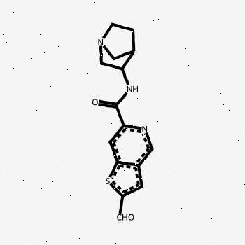 O=Cc1cc2cnc(C(=O)NC3CN4CCC3C4)cc2s1